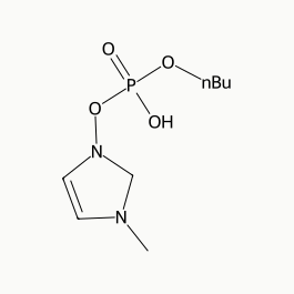 CCCCOP(=O)(O)ON1C=CN(C)C1